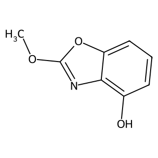 COc1nc2c(O)cccc2o1